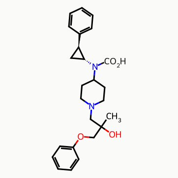 CC(O)(COc1ccccc1)CN1CCC(N(C(=O)O)[C@@H]2C[C@H]2c2ccccc2)CC1